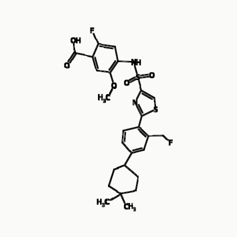 COc1cc(C(=O)O)c(F)cc1NS(=O)(=O)c1csc(-c2ccc(C3CCC(C)(C)CC3)cc2CF)n1